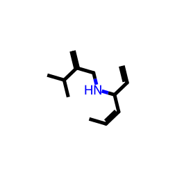 C=CC(/C=C\C)NCC(=C)C(C)C